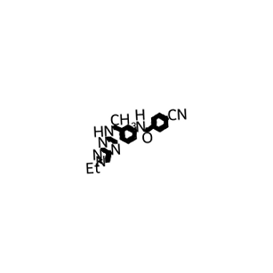 CCn1cc2ncc(N[C@@H](C)c3cccc(NC(=O)c4ccc(C#N)cc4)c3)nc2n1